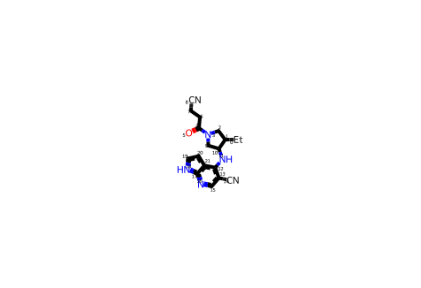 CCC1CN(C(=O)CCC#N)CC1Nc1c(C#N)cnc2[nH]ccc12